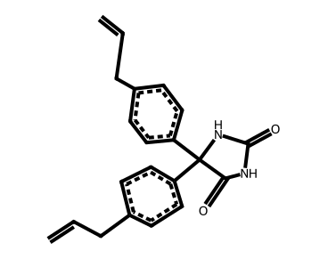 C=CCc1ccc(C2(c3ccc(CC=C)cc3)NC(=O)NC2=O)cc1